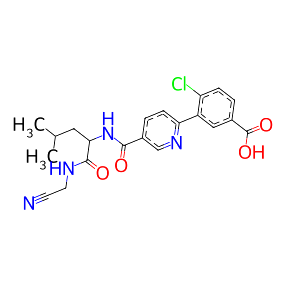 CC(C)CC(NC(=O)c1ccc(-c2cc(C(=O)O)ccc2Cl)nc1)C(=O)NCC#N